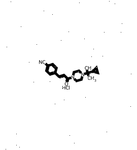 CC(C)(C1CC1)N1CCN(C(=O)C=Cc2ccc(C#N)cc2)CC1.Cl